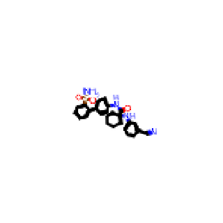 N#Cc1cccc(NC2(C(=O)Nc3ccc(-c4ccccc4S(N)(=O)=O)cc3)CCCCC2)c1